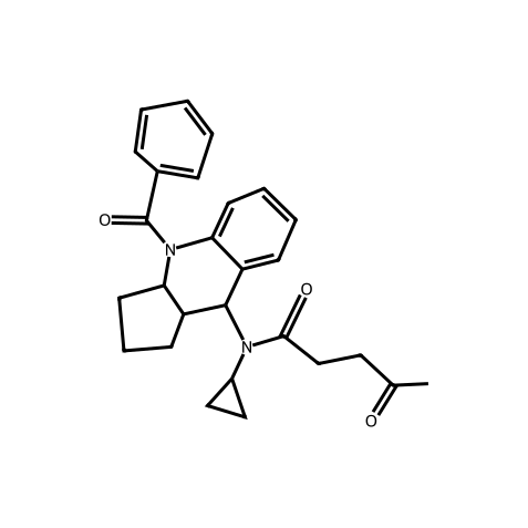 CC(=O)CCC(=O)N(C1CC1)C1c2ccccc2N(C(=O)c2ccccc2)C2CCCC21